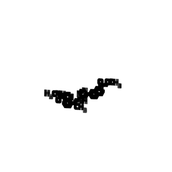 CNC(=O)c1ccnc2c([C@H](C)CNc3cc(-c4ccc5c(c4)CN(C(=O)COC)CC5)ncn3)cccc12